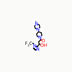 CN1CCN(C2CCN(C(=O)C[C@H](O)c3nccn3CC(F)(F)F)CC2)CC1